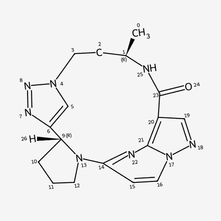 C[C@@H]1CCn2cc(nn2)[C@H]2CCCN2c2ccn3ncc(c3n2)C(=O)N1